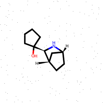 OC1([C@H]2N[C@@H]3CC[C@H]2C3)CCCC1